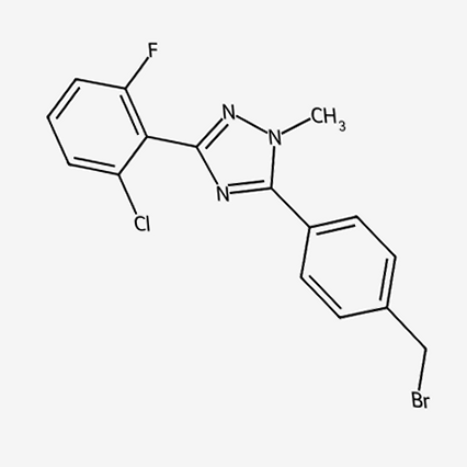 Cn1nc(-c2c(F)cccc2Cl)nc1-c1ccc(CBr)cc1